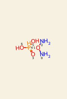 NON.O=[PH](O)O